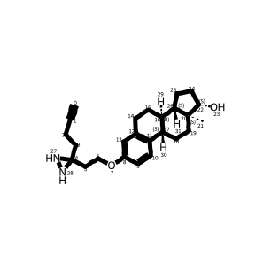 C#CCCC1(CCOc2ccc3c(c2)CC[C@@H]2[C@@H]3CC[C@]3(C)[C@@H](O)CC[C@@H]23)NN1